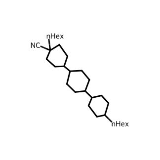 CCCCCCC1CCC(C2CCC(C3CCC(C#N)(CCCCCC)CC3)CC2)CC1